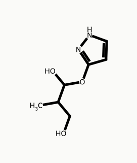 CC(CO)C(O)Oc1cc[nH]n1